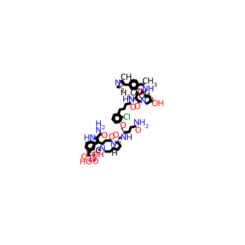 Cc1ncsc1-c1ccc([C@H](C)NC(=O)[C@@H]2C[C@@H](O)CN2C(=O)[C@@H](NC(=O)CCCc2cccc(OC[C@H](CCC(N)=O)NC(=O)[C@@H]3CC[C@@H]4CCN(C)C(c5c(C(N)=O)[nH]c6ccc(C(=O)P(=O)(O)O)cc56)CC(=O)N43)c2Cl)C(C)(C)C)cc1